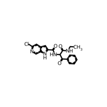 CCNC(=O)C(NC(=O)c1cc2cc(Cl)ncc2[nH]1)C(=O)c1ccccc1